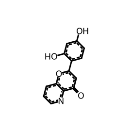 O=c1cc(-c2ccc(O)cc2O)oc2cccnc12